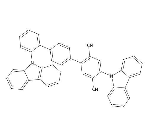 N#Cc1cc(-n2c3ccccc3c3ccccc32)c(C#N)cc1-c1ccc(-c2ccccc2-n2c3c(c4ccccc42)C=CCC3)cc1